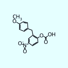 COc1ccc(Cc2cc([N+](=O)[O-])ccc2OC(=O)O)cc1